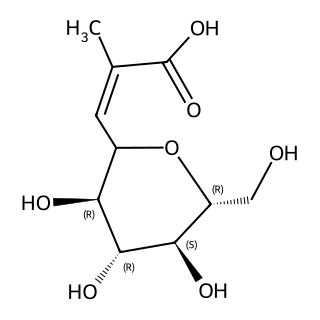 CC(=CC1O[C@H](CO)[C@@H](O)[C@H](O)[C@H]1O)C(=O)O